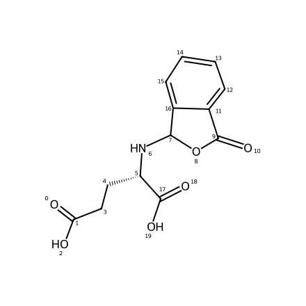 O=C(O)CC[C@H](NC1OC(=O)c2ccccc21)C(=O)O